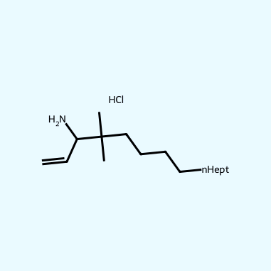 C=CC(N)C(C)(C)CCCCCCCCCCC.Cl